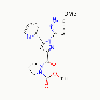 COc1ccc(-n2nc(C(=O)N3CCCN3C(=O)OC(C)(C)C)cc2-c2ccccn2)nn1